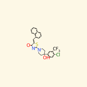 O=C1N=C(N2CCC(O)(c3ccc(Cl)c(C(F)(F)F)c3)CC2)SC1=Cc1cccc2ccccc12